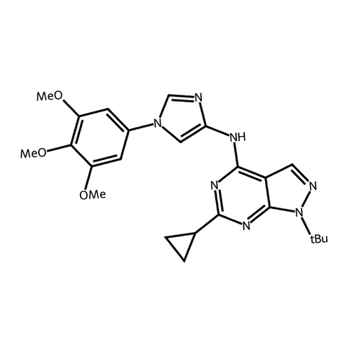 COc1cc(-n2cnc(Nc3nc(C4CC4)nc4c3cnn4C(C)(C)C)c2)cc(OC)c1OC